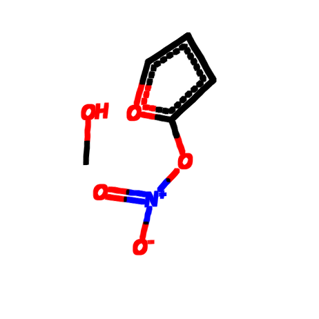 CO.O=[N+]([O-])Oc1ccco1